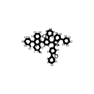 CC1C=Cc2c(c(-c3ccc(-c4c(-c5ccc6c(c5)oc5ccccc56)sc5c(-c6ccccc6)cccc45)c4c3oc3ccccc34)c3ccccc3c2C2C=CC=CC2C)C1